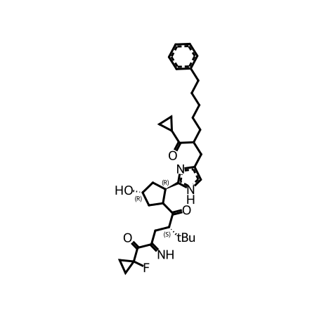 CC(C)(C)[C@H](CC(=N)C(=O)C1(F)CC1)C(=O)C1C[C@H](O)C[C@H]1c1nc(CC(CCCCCc2ccccc2)C(=O)C2CC2)c[nH]1